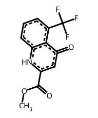 COC(=O)c1cc(=O)c2c(C(F)(F)F)cccc2[nH]1